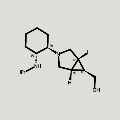 CC(C)N[C@@H]1CCCC[C@H]1N1C[C@@H]2[C@@H](CO)[C@@H]2C1